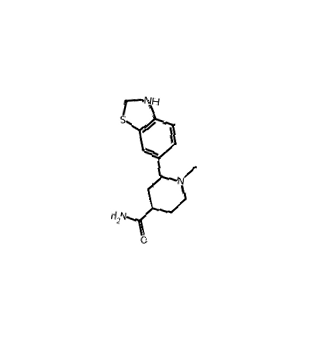 CN1CCC(C(N)=O)CC1c1ccc2c(c1)SCN2